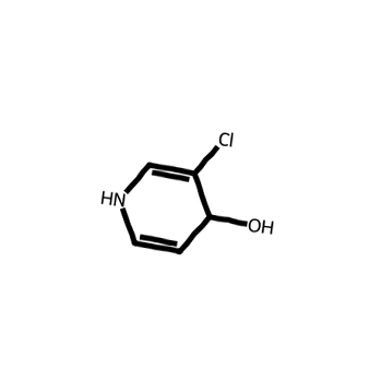 OC1C=CNC=C1Cl